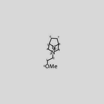 COCCN1CC2CCC(C1)N2C